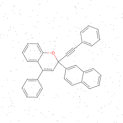 C(#CC1(c2ccc3ccccc3c2)C=C(c2ccccc2)c2ccccc2O1)c1ccccc1